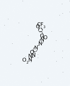 O=C(OCc1ccc(OC(F)(F)F)cc1)N1CCN(CCN2CCC3(CC2)Cn2cc([N+](=O)[O-])nc2O3)CC1